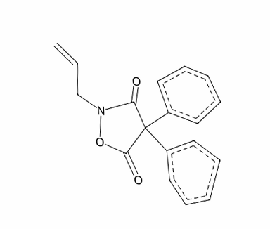 C=CCN1OC(=O)C(c2ccccc2)(c2ccccc2)C1=O